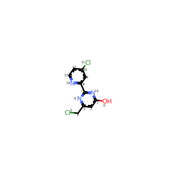 Oc1cc(CCl)nc(-c2cc(Cl)ccn2)n1